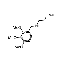 COCCNCc1ccc(OC)c(OC)c1OC